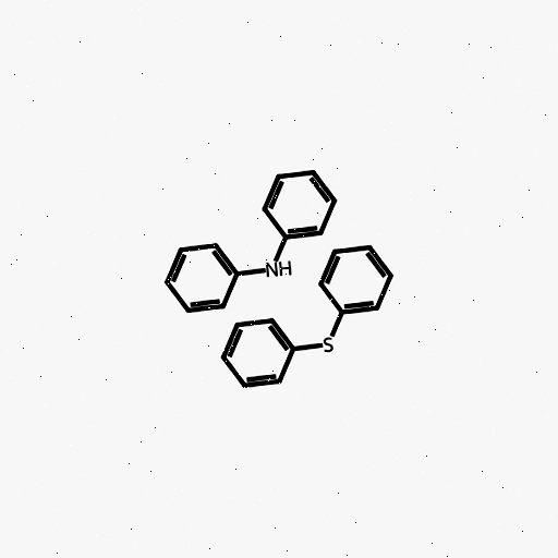 c1ccc(Nc2ccccc2)cc1.c1ccc(Sc2ccccc2)cc1